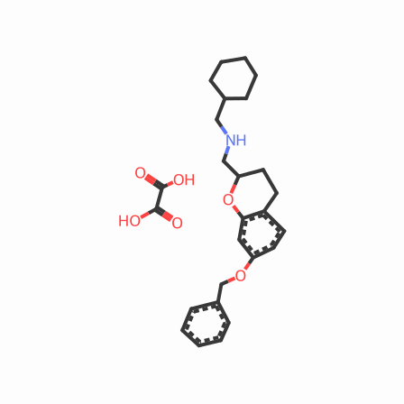 O=C(O)C(=O)O.c1ccc(COc2ccc3c(c2)OC(CNCC2CCCCC2)CC3)cc1